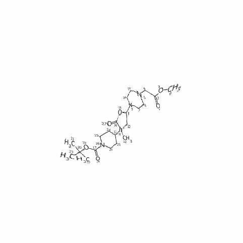 COC(=O)CN1CCN(C2C[N+](C)(C3CCN(C(=O)OC(C)(C)C)CC3)C(=O)O2)CC1